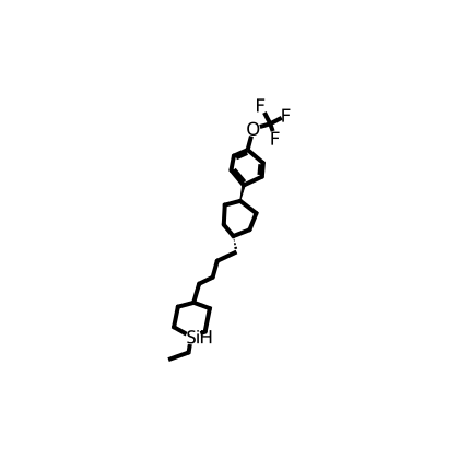 CC[SiH]1CCC(CCCC[C@H]2CC[C@H](c3ccc(OC(F)(F)F)cc3)CC2)CC1